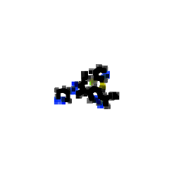 Cc1nn([C@H]2CCCNC2)cc1-c1cc(Sc2ncccc2F)c2c(C#N)cnn2c1